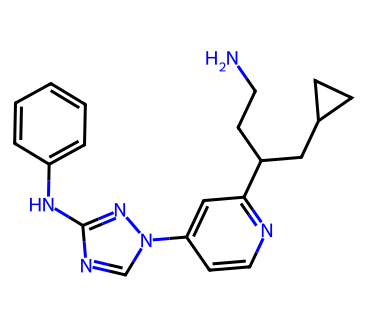 NCCC(CC1CC1)c1cc(-n2cnc(Nc3ccccc3)n2)ccn1